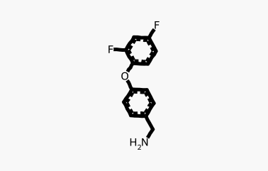 NCc1ccc(Oc2ccc(F)cc2F)cc1